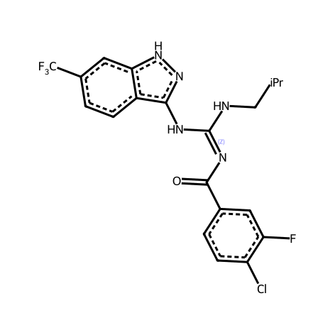 CC(C)CN/C(=N/C(=O)c1ccc(Cl)c(F)c1)Nc1n[nH]c2cc(C(F)(F)F)ccc12